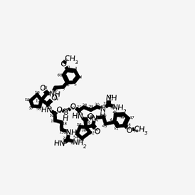 COc1cccc(CCNC(=O)C2(C(=O)NC(CCCNC(=N)N)OBOC(CCCNC(=N)N)NC(=O)C3(C(=O)NCCc4cccc(OC)c4)CCCC3)CCCC2)c1